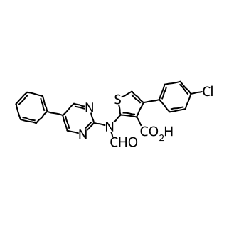 O=CN(c1ncc(-c2ccccc2)cn1)c1scc(-c2ccc(Cl)cc2)c1C(=O)O